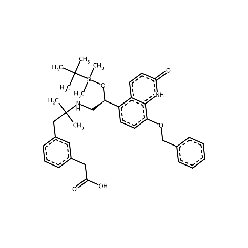 CC(C)(Cc1cccc(CC(=O)O)c1)NC[C@@H](O[Si](C)(C)C(C)(C)C)c1ccc(OCc2ccccc2)c2[nH]c(=O)ccc12